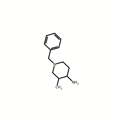 CC1CN(Cc2ccccc2)CCC1N